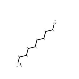 CCCCCCCC[CH]Br